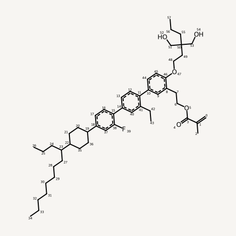 C=C(C)C(=O)OCCc1cc(-c2ccc(-c3ccc(C4CCC(C(CCC)CCCCCCCC)CC4)cc3F)cc2CC)ccc1OCCC(CO)(CO)CCC